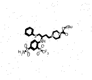 CC(C)(C)OC(=O)N1CCN(CCC(CSc2ccccc2)Nc2ccc(S(N)(=O)=O)cc2S(=O)(=O)C(F)(F)F)CC1